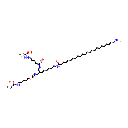 CB(O)NCCCCCO/B=N\CC(CCCCCCNC(=O)CCCCCCCCCCCCCCCCCCCCCCCN)CN=C(B=O)CCCCNB(C)O